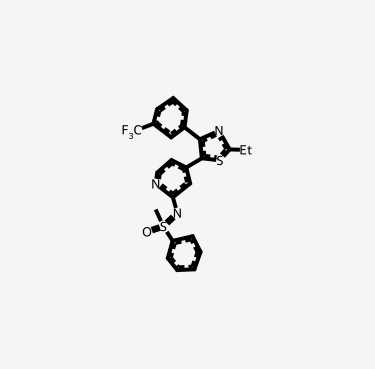 CCc1nc(-c2cccc(C(F)(F)F)c2)c(-c2ccnc(N=S(C)(=O)c3ccccc3)c2)s1